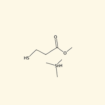 COC(=O)CCS.[CH3][SnH]([CH3])[CH3]